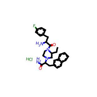 CCC1CN(C(Cc2ccc3ccccc3c2)C(N)=O)CCN1C(=O)C(N)Cc1ccc(F)cc1.Cl